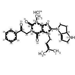 CC(C)=CCn1c(N2CCC3NCC=C32)nc2c1c(=O)n(CC(=O)c1ccccc1)c(=O)n2C.Cl